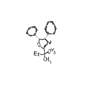 CCC(C)(C)C1=N[C@@H](c2ccccc2)[C@@H](c2ccccc2)O1